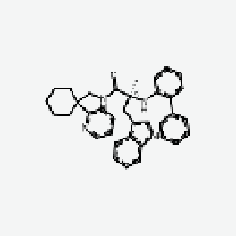 C[C@@](Cc1c[nH]c2ccccc12)(Nc1ccccc1-c1ccccc1)C(=O)NCC1(c2ccccn2)CCCCC1